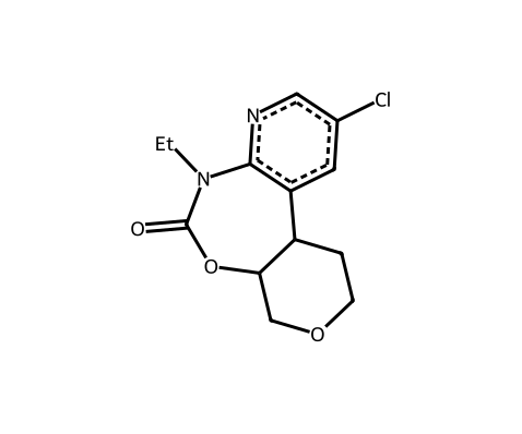 CCN1C(=O)OC2COCCC2c2cc(Cl)cnc21